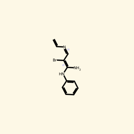 C=C/N=C\C(Br)=C(/N)Nc1ccccc1